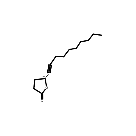 CCCCCCCCC#C[C@H]1CCC(=O)O1